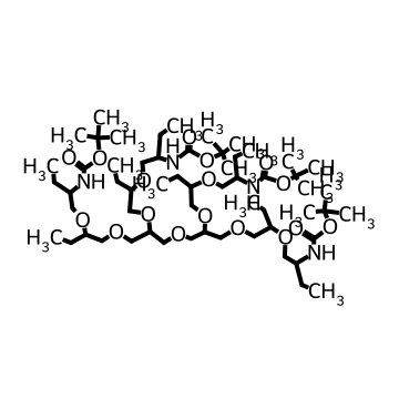 CCC(COC(CC)COCC(COCC(COCC(CC)OCC(CC)NC(=O)OC(C)(C)C)OCC(CC)OCC(CC)NC(=O)OC(C)(C)C)OCC(CC)OCC(CC)NC(=O)OC(C)(C)C)NC(=O)OC(C)(C)C